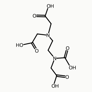 O=C(O)CN(CCN(CC(=O)O)C(=O)O)CC(=O)O